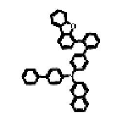 c1ccc(-c2ccc(N(c3ccc(-c4ccccc4-c4cccc5c4oc4ccccc45)cc3)c3ccc4ccccc4c3)cc2)cc1